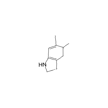 CC1=CC2=C(CCN2)CC1C